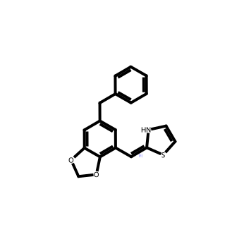 C1=CS/C(=C/c2cc(Cc3ccccc3)cc3c2OCO3)N1